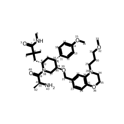 CNC(=O)C(C)(C)C[C@@H]1C[C@H](c2ccc(OC)cc2)[C@@H](OCc2ccc3c(c2)N(CCCOC)CCO3)CN1C(=O)[C@H](C)N